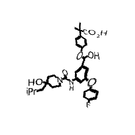 CC(C)CC1(O)CCN(C(=O)Nc2cc(Oc3ccc(F)cc3)cc(C(O)Oc3ccc(C(C)(C)C(=O)O)cc3)c2)CC1